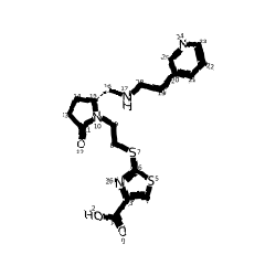 O=C(O)c1csc(SCCN2C(=O)CC[C@@H]2CNCCc2cccnc2)n1